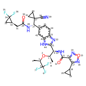 C[C@@H](O[C@H](C)C(F)(F)F)[C@H](NC(=O)c1nonc1C1CC1)c1nc2ccc([C@H](NC(=O)C[C@H]3CC3(F)F)C3(C#N)CC3)cc2[nH]1